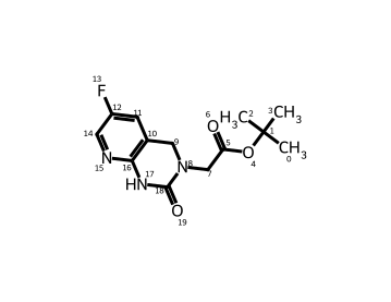 CC(C)(C)OC(=O)CN1Cc2cc(F)cnc2NC1=O